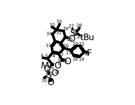 COC(=O)c1c(C(C)COS(C)(=O)=O)cc2c(c1-c1ccc(F)cc1)C(O[Si](C)(C)C(C)(C)C)CC(C)(C)C2